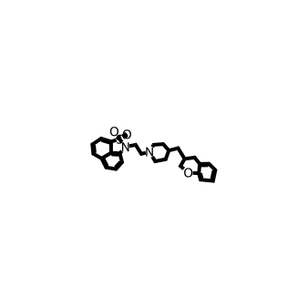 O=S1(=O)c2cccc3cccc(c23)N1CCN1CCC(CC2COc3ccccc3C2)CC1